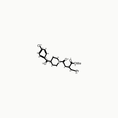 COC(=O)C(CC(=O)N1CCC(C(=O)c2ccc(Cl)cc2)CC1)CC(C)C